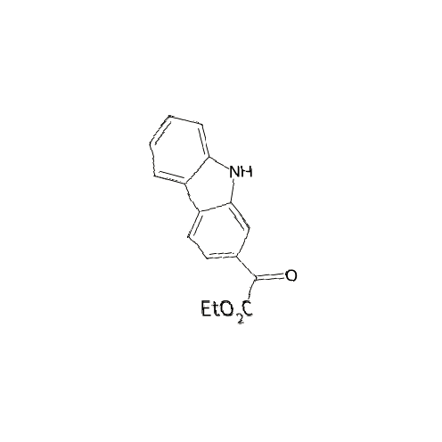 CCOC(=O)C(=O)c1ccc2c(c1)[nH]c1ccccc12